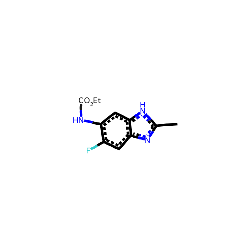 CCOC(=O)Nc1cc2[nH]c(C)nc2cc1F